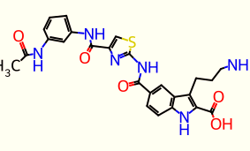 CC(=O)Nc1cccc(NC(=O)c2csc(NC(=O)c3ccc4[nH]c(C(=O)O)c(CCCN)c4c3)n2)c1